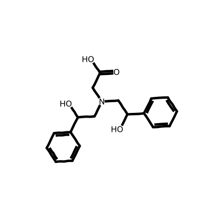 O=C(O)CN(CC(O)c1ccccc1)CC(O)c1ccccc1